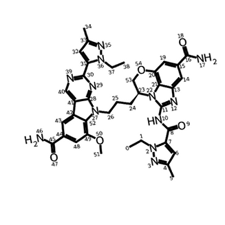 CCn1nc(C)cc1C(=O)Nc1nc2cc(C(N)=O)cc3c2n1[C@@H](CCCn1c2nc(-c4cc(C)nn4CC)ncc2c2cc(C(N)=O)cc(OC)c21)CO3